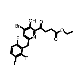 CCOC(=O)CCC(=O)c1nc(Cc2c(F)ccc(F)c2F)cc(Br)c1O